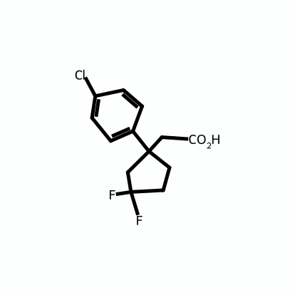 O=C(O)CC1(c2ccc(Cl)cc2)CCC(F)(F)C1